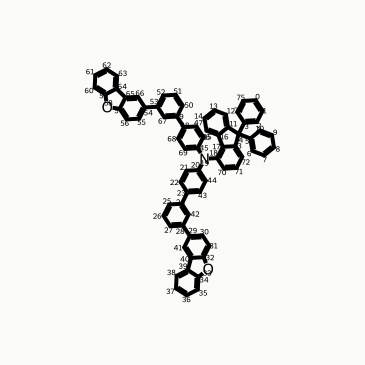 c1ccc(C2(c3ccccc3)c3ccccc3-c3c(N(c4ccc(-c5cccc(-c6ccc7oc8ccccc8c7c6)c5)cc4)c4ccc(-c5cccc(-c6ccc7oc8ccccc8c7c6)c5)cc4)cccc32)cc1